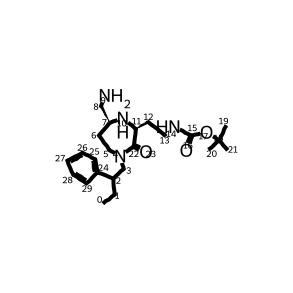 CCC(CN1CC[C@@H](CN)N[C@@H](CCNC(=O)OC(C)(C)C)C1=O)c1ccccc1